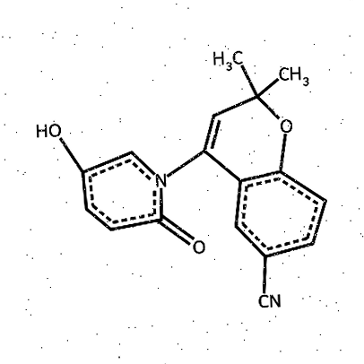 CC1(C)C=C(n2cc(O)ccc2=O)c2cc(C#N)ccc2O1